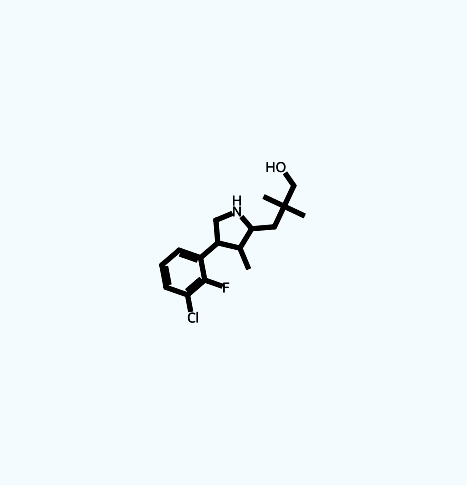 CC1C(CC(C)(C)CO)NCC1c1cccc(Cl)c1F